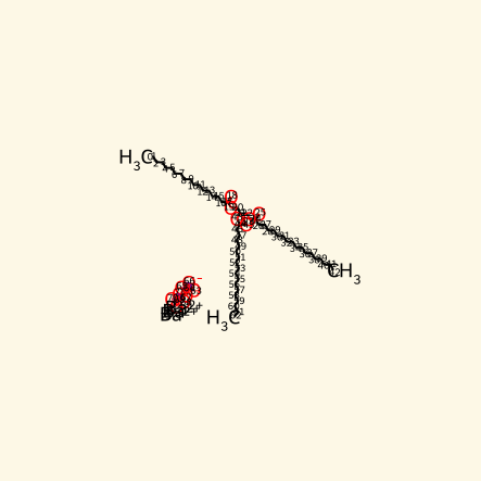 CCCCCCCCCCCCCCCCCC(=O)OCC(COC(=O)CCCCCCCCCCCCCCCCC)OC(=O)CCCCCCCCCCCCCCCCC.O=P([O-])([O-])[O-].O=P([O-])([O-])[O-].[Ba+2].[Ba+2].[Ba+2]